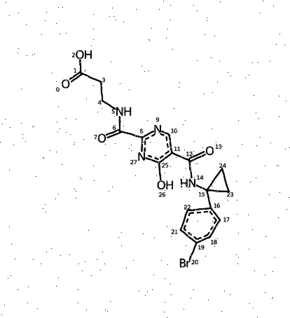 O=C(O)CCNC(=O)c1ncc(C(=O)NC2(c3ccc(Br)cc3)CC2)c(O)n1